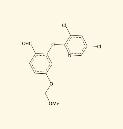 COCOc1ccc(C=O)c(Oc2ncc(Cl)cc2Cl)c1